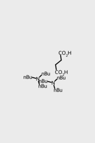 CCCCN(CCCC)CCCC.CCCCN(CCCC)CCCC.O=C(O)CCC(=O)O